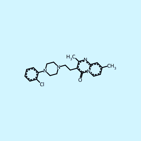 Cc1ccn2c(=O)c(CCN3CCN(c4ccccc4Cl)CC3)c(C)nc2c1